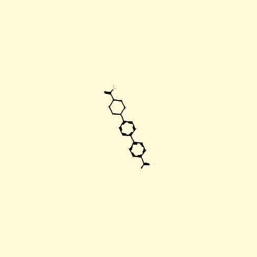 CCCCC(=O)c1ccc(-c2ccc(C3CCC(C(=O)CC)CC3)cc2)cc1